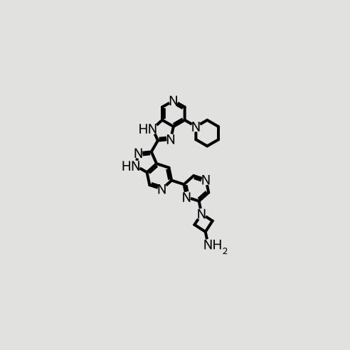 NC1CN(c2cncc(-c3cc4c(-c5nc6c(N7CCCCC7)cncc6[nH]5)n[nH]c4cn3)n2)C1